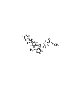 CC#CC(=O)N1CCC2(CC2c2nc(-c3ccc(C(=O)Nc4ccccn4)cc3)c3c(N)nccn23)C1